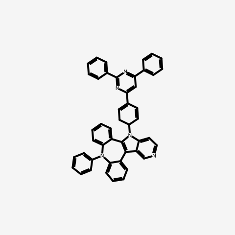 C1=CC(n2c3c(c4cnccc42)-c2ccccc2N(c2ccccc2)c2ccccc2-3)CC=C1c1cc(-c2ccccc2)nc(-c2ccccc2)n1